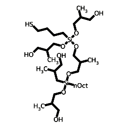 CCCCCCCC[Si](CC(C)CO)(OCC(C)CO)OCC(C)CO[Si](CCCCS)(OCC(C)CO)OCC(C)CO